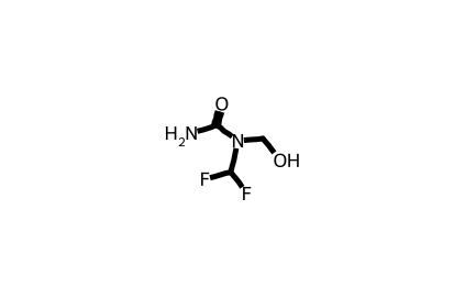 NC(=O)N(CO)C(F)F